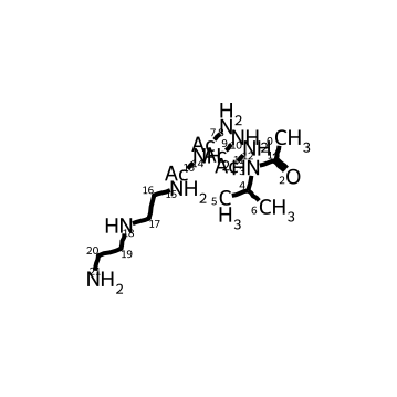 CC(=O)NC(C)C.CC(N)=O.CC(N)=O.CC(N)=O.CC(N)=O.NCCNCCN